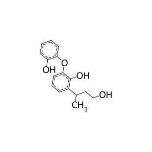 CC(CCO)c1cccc(Oc2ccccc2O)c1O